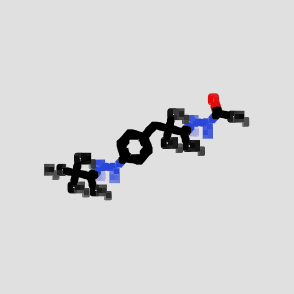 CC(=O)N/N=C(\C)C(C)(C)Cc1ccc(N/N=C(\C)C(C)(C)C)cc1